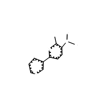 OB(O)c1ccc(-c2cccnc2)nc1F